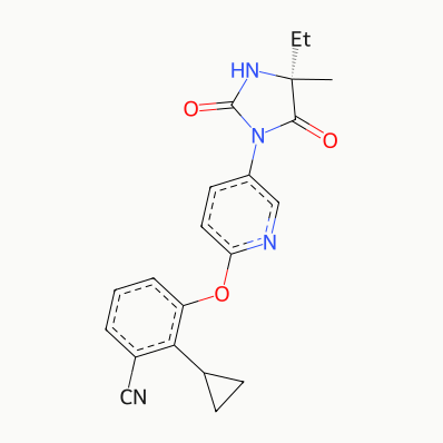 CC[C@@]1(C)NC(=O)N(c2ccc(Oc3cccc(C#N)c3C3CC3)nc2)C1=O